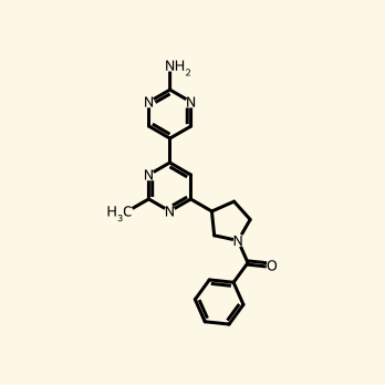 Cc1nc(-c2cnc(N)nc2)cc(C2CCN(C(=O)c3ccccc3)C2)n1